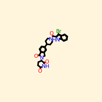 O=C1CCC(N2Cc3cc(C4CCN(C(=O)c5[nH]c6ccccc6c5Br)CC4)ccc3C2=O)C(=O)N1